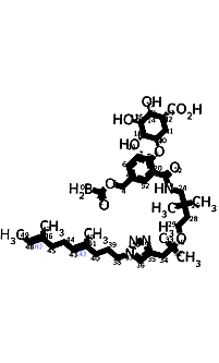 BC(=O)OCc1ccc(O[C@@H]2C[C@H](C(=O)O)[C@@H](O)[C@H](O)[C@H]2O)c(C(=O)NCC(C)(C)CCOC(C)(C)Cc2cn(CCC/C(C)=C/CC/C(C)=C/C)nn2)c1